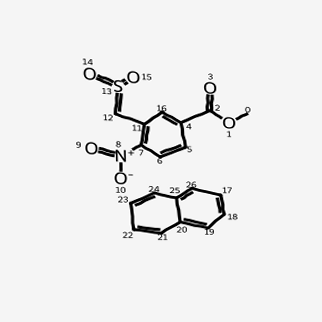 COC(=O)c1ccc([N+](=O)[O-])c(C=S(=O)=O)c1.c1ccc2ccccc2c1